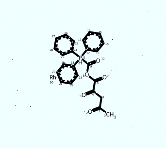 CC(=O)CC(=O)C(=O)OC(=O)[PH](c1ccccc1)(c1ccccc1)c1ccccc1.[Rh]